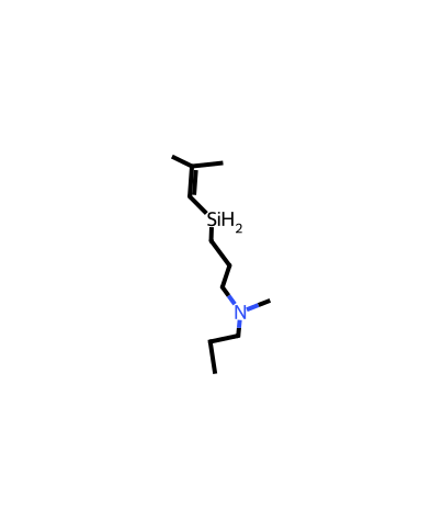 CCCN(C)CCC[SiH2]C=C(C)C